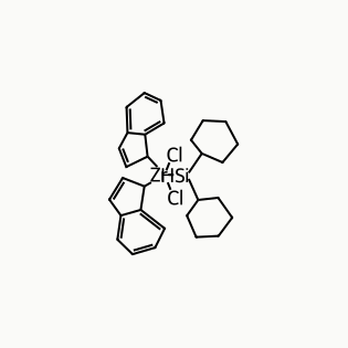 [Cl][Zr]([Cl])([CH]1C=Cc2ccccc21)([CH]1C=Cc2ccccc21)[SiH](C1CCCCC1)C1CCCCC1